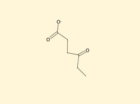 CCC(=O)CCC([O])=O